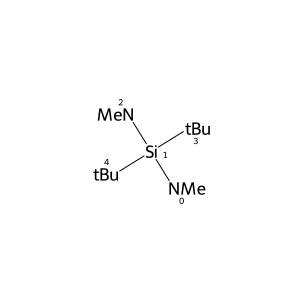 CN[Si](NC)(C(C)(C)C)C(C)(C)C